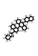 c1ccc2cc(-c3c4ccccc4c(-c4ccc(-c5cn6ccccc6n5)c5ccccc45)c4ccccc34)ccc2c1